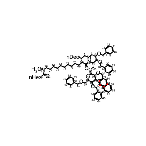 CCCCCCCCCCCCCC[C@@H](OCc1ccccc1)[C@@H](OCc1ccccc1)[C@H](CO[C@H]1O[C@H](COCc2ccccc2)[C@H](OCc2ccccc2)[C@H](OCc2ccccc2)[C@H]1OCc1ccccc1)NC(=O)CCCCCCCCCCCN(C)C(=O)CCCCCC